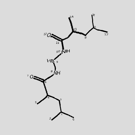 CC(C)CC(C)C(=O)NBNC(=O)C(C)CC(C)C